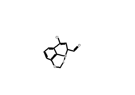 O=CC1C=C(Cl)c2cccc3c2N1CCO3